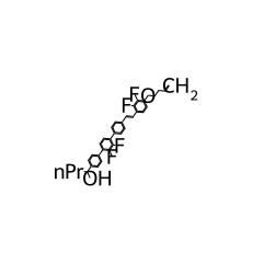 C=CCCOc1ccc(/C=C/c2ccc(-c3ccc(-c4ccc(C(O)CCC)cc4)c(F)c3F)cc2)c(F)c1F